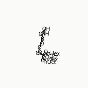 CCCCCCCCC(CCCCCC)C(=O)OCC(COC(=O)CCOCCOCCN1CC(C(=O)NCCO)C1)COC(=O)C(CCCCCC)CCCCCCCC